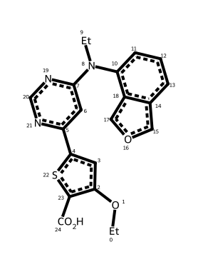 CCOc1cc(-c2cc(N(CC)c3cccc4cocc34)ncn2)sc1C(=O)O